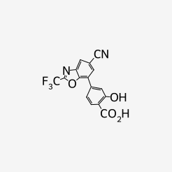 N#Cc1cc(-c2ccc(C(=O)O)c(O)c2)c2oc(C(F)(F)F)nc2c1